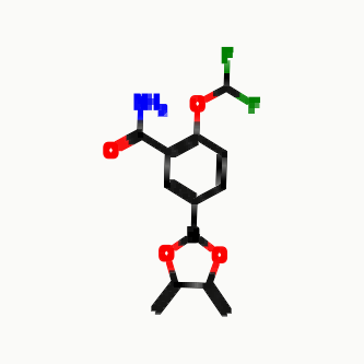 C=C1OB(c2ccc(OC(F)F)c(C(N)=O)c2)OC1=C